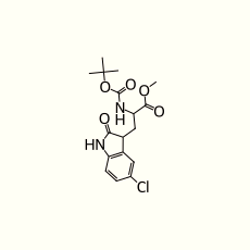 COC(=O)C(CC1C(=O)Nc2ccc(Cl)cc21)NC(=O)OC(C)(C)C